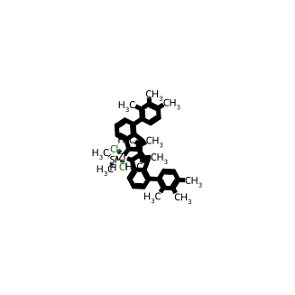 Cc1ccc(-c2cccc3c2C=C(C(C)C)[CH]3[Zr]([Cl])([Cl])([CH]2C(C(C)C)=Cc3c(-c4ccc(C)c(C)c4C)cccc32)[SiH](C)C)c(C)c1C